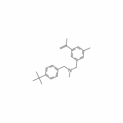 C=C(C)c1cc(C)cc(CN(C)Cc2ccc(C(C)(C)C)cc2)c1